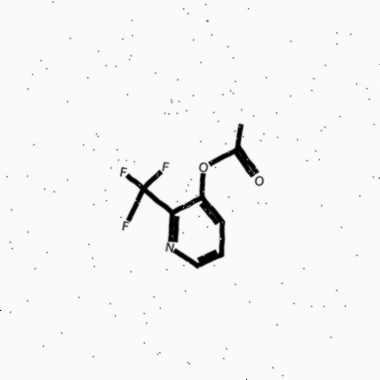 CC(=O)Oc1cccnc1C(F)(F)F